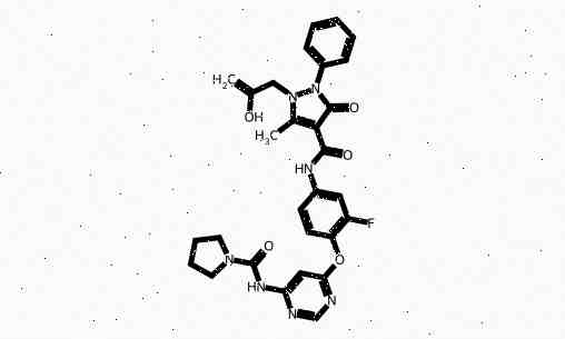 C=C(O)Cn1c(C)c(C(=O)Nc2ccc(Oc3cc(NC(=O)N4CCCC4)ncn3)c(F)c2)c(=O)n1-c1ccccc1